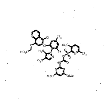 COc1cc(OC)nc(NC(=O)NS(=O)(=O)c2nc(C(F)(F)F)ccc2C(=O)O)n1.Nc1c([N+](=O)[O-])cnn1-c1c(Cl)cc(C(F)(F)F)cc1Cl.O=C(O)COc1ccc(Cl)c2cccnc12